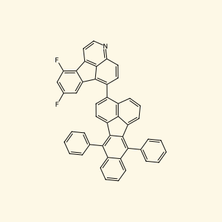 Fc1cc(F)c2c(c1)-c1c(-c3ccc4c5c(cccc35)-c3c-4c(-c4ccccc4)c4ccccc4c3-c3ccccc3)ccc3nccc-2c13